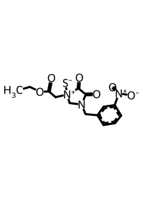 CCOC(=O)C[N+]1([S-])CN(Cc2cccc([N+](=O)[O-])c2)C(=O)C1=O